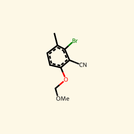 COCOc1ccc(C)c(Br)c1C#N